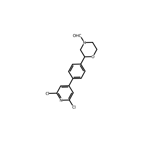 O=CN1CCOC(c2ccc(-c3cc(Cl)nc(Cl)c3)cc2)C1